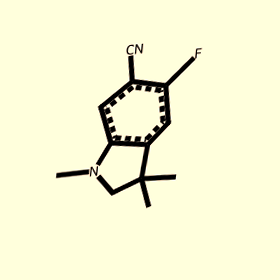 CN1CC(C)(C)c2cc(F)c(C#N)cc21